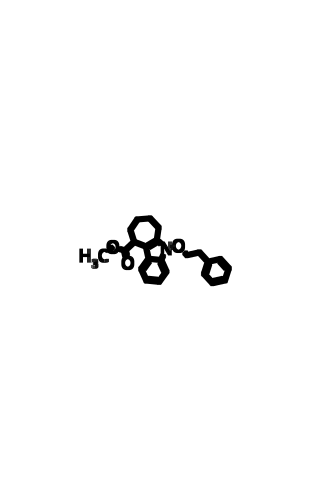 COC(=O)C1CCCCc2c1c1ccccc1n2OCCc1ccccc1